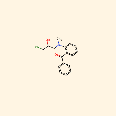 CN(CC(O)CCl)c1ccccc1C(=O)c1ccccc1